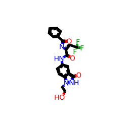 O=C(Nc1ccc2c(c1)c(=O)[nH]n2CCO)c1nc(-c2ccccc2)oc1C(F)(F)F